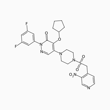 O=c1c(OC2CCCC2)c(N2CCN(S(=O)(=O)Cc3ccncc3[N+](=O)[O-])CC2)cnn1-c1cc(F)cc(F)c1